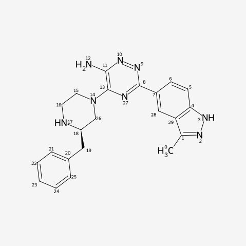 Cc1n[nH]c2ccc(-c3nnc(N)c(N4CCN[C@H](Cc5ccccc5)C4)n3)cc12